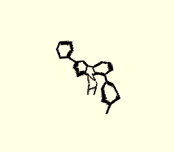 Cc1ccc(-c2cccc3c2[nH]c2ccc(-c4ccccc4)cc23)cc1